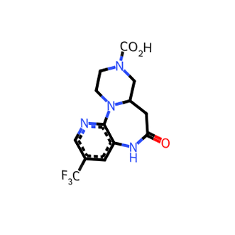 O=C1CC2CN(C(=O)O)CCN2c2ncc(C(F)(F)F)cc2N1